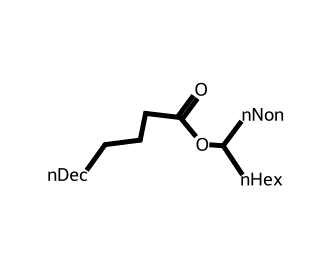 CCCCCCCCCCCCCC(=O)OC(CCCCCC)CCCCCCCCC